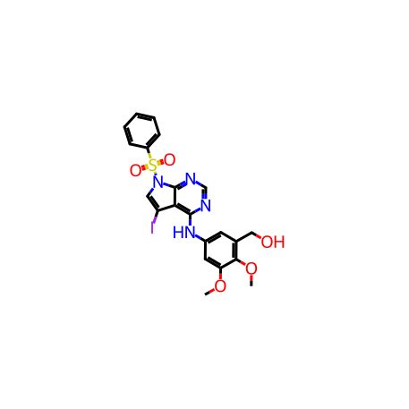 COc1cc(Nc2ncnc3c2c(I)cn3S(=O)(=O)c2ccccc2)cc(CO)c1OC